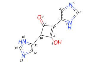 O=C1C(c2cnc[nH]2)=C(O)C1c1cnc[nH]1